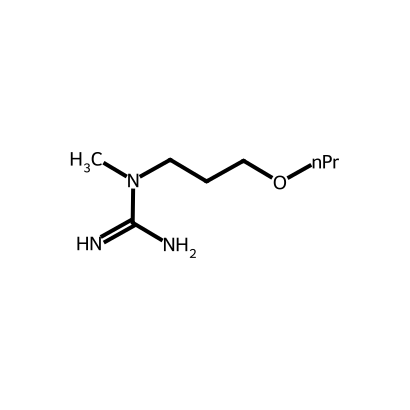 CCCOCCCN(C)C(=N)N